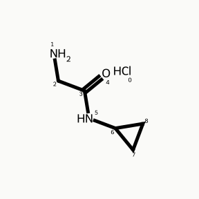 Cl.NCC(=O)NC1CC1